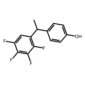 CC(c1ccc(O)cc1)c1cc(F)c(F)c(F)c1F